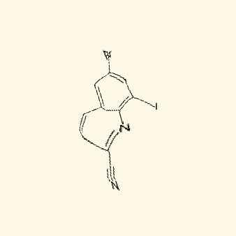 N#Cc1ccc2cc(Br)cc(I)c2n1